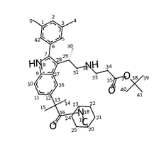 Cc1cc(C)cc(-c2[nH]c3ccc(C(C)(C)C(=O)N4CC5CCC4CC5)cc3c2[C@H](C)CNCCC(=O)OC(C)(C)C)c1